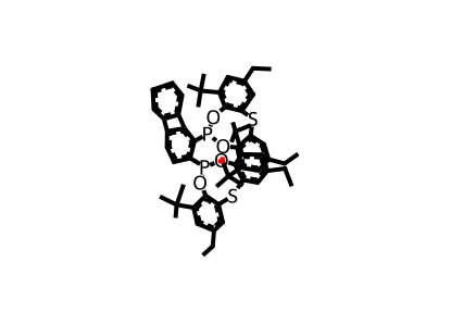 CCc1cc2c(c(C(C)(C)C)c1)OP(c1ccc3c(c1P1Oc4c(cc(CC)cc4C(C)(C)C)Sc4cc(CC)cc(C(C)(C)C)c4O1)-c1ccccc1-3)Oc1c(cc(CC)cc1C(C)(C)C)S2